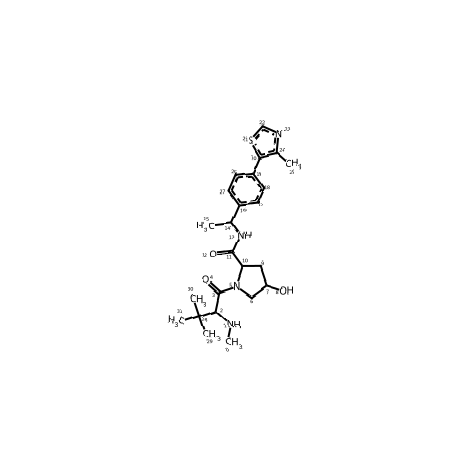 CNC(C(=O)N1CC(O)CC1C(=O)NC(C)c1ccc(-c2scnc2C)cc1)C(C)(C)C